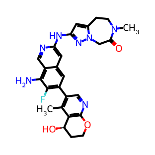 Cc1c(-c2cc3cc(Nc4cc5n(n4)CC(=O)N(C)CC5)ncc3c(N)c2F)cnc2c1[C@H](O)CCO2